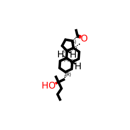 CCCC(C)(O)C[C@@H]1CC[C@@H]2[C@H](CC[C@]3(C)[C@@H](C(C)=O)CC[C@@H]23)C1